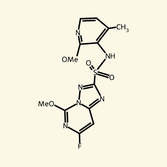 COc1nccc(C)c1NS(=O)(=O)c1nc2cc(F)nc(OC)n2n1